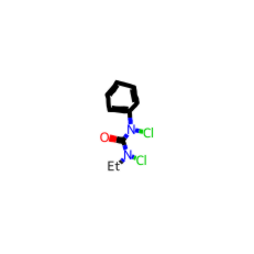 CCN(Cl)C(=O)N(Cl)c1ccccc1